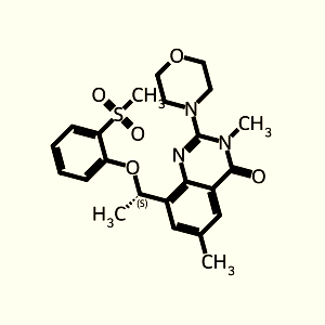 Cc1cc([C@H](C)Oc2ccccc2S(C)(=O)=O)c2nc(N3CCOCC3)n(C)c(=O)c2c1